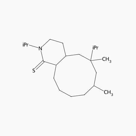 CC1CCCCC2C(=S)N(C(C)C)CCC2CC(C)(C(C)C)C1